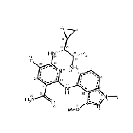 COc1nn(C)c2cccc(Nc3nc(N[C@H](C4CC4)[C@H](C)N)c(F)cc3C(N)=O)c12